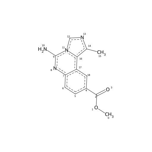 COC(=O)c1ccc2nc(N)n3cnc(C)c3c2c1